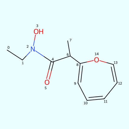 CCN(O)C(=O)C(C)C1=CC=CC=CO1